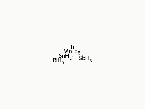 [BiH3].[Fe].[Mn].[SbH3].[SnH2].[Ti]